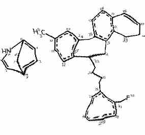 C1=CC2=CC=C(CC2)N1.Cc1ccc2c(c1)-c1ccc3c(c1CC2CCc1ccccc1F)CCC=C3